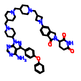 Nc1ncnc2c1c(-c1ccc(Oc3ccccc3)cc1)nn2C1CCN(CC2CCN(CC3CCN(CC4CN(c5ccc6c(c5)CN(C5CCC(=O)NC5=O)C6=O)C4)CC3)CC2)CC1